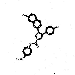 O=C(Nc1ccc(OC(F)(F)F)cc1)N1CC(c2ccc3ccc(Cl)cc3n2)C(c2ccc(Cl)cc2)=N1